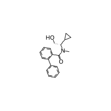 CN(C(=O)c1ccccc1-c1ccccc1)[C@H](CO)C1CC1